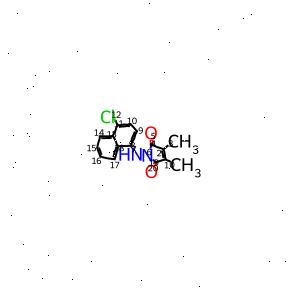 CC1=C(C)C(=O)N(Nc2ccc(Cl)c3ccccc23)C1=O